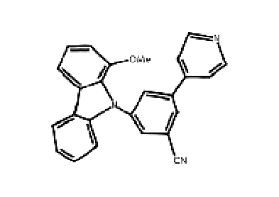 COc1cccc2c3ccccc3n(-c3cc(C#N)cc(-c4ccncc4)c3)c12